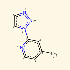 FC(F)(F)c1ccnc(-n2ccnn2)c1